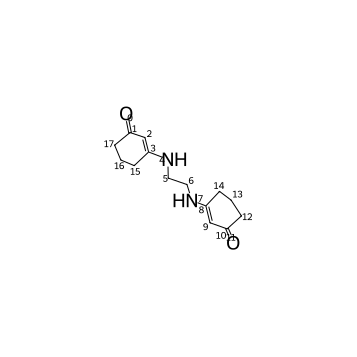 O=C1C=C(NCCNC2=CC(=O)CCC2)CCC1